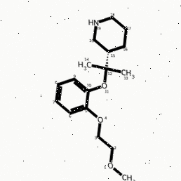 COCCOc1ccccc1OC(C)(C)[C@H]1CCCNC1